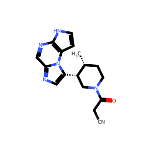 C[C@@H]1CCN(C(=O)CC#N)C[C@@H]1c1cnc2cnc3[nH]ccc3n12